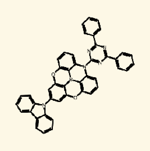 c1ccc(-c2nc(-c3ccccc3)nc(N3c4cccc5c4B4c6c(cc(-n7c8ccccc8c8ccccc87)cc6Oc6cccc3c64)O5)n2)cc1